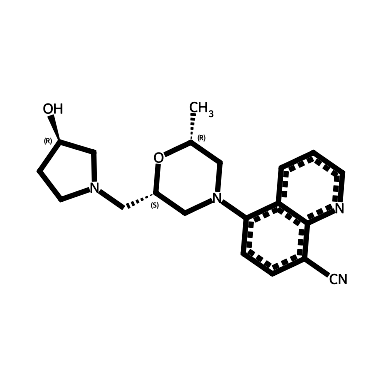 C[C@@H]1CN(c2ccc(C#N)c3ncccc23)C[C@H](CN2CC[C@@H](O)C2)O1